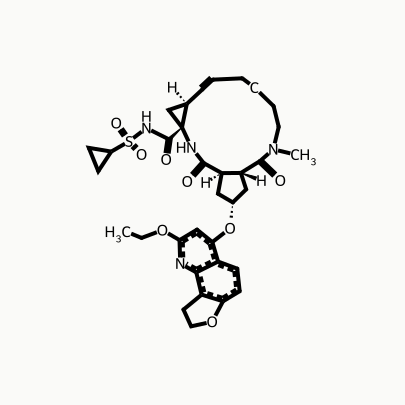 CCOc1cc(O[C@@H]2C[C@H]3C(=O)N[C@]4(C(=O)NS(=O)(=O)C5CC5)C[C@H]4/C=C\CCCCN(C)C(=O)[C@@H]3C2)c2ccc3c(c2n1)CCO3